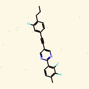 CCCc1ccc(C#Cc2cnc(-c3ccc(C)c(F)c3F)nc2)cc1F